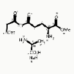 CCCCCCCCCCCC(=O)OC(=O)CC[C@H](N)C(=O)OC.C[C@H](N)C(=O)O.[NaH]